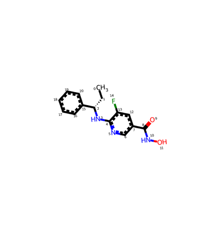 CC[C@H](Nc1ncc(C(=O)NO)cc1F)c1ccccc1